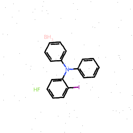 B.F.Ic1ccccc1N(c1ccccc1)c1ccccc1